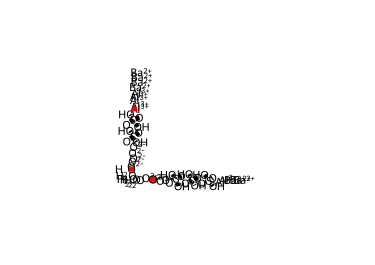 O.O.O.O.O.O=S(=O)(O)O.O=S(=O)(O)O.O=S(=O)(O)O.O=S(=O)(O)O.O=S(=O)(O)O.[Al+3].[Al+3].[Al+3].[Al+3].[Al+3].[Al+3].[Al+3].[Ba+2].[Ba+2].[Ba+2].[Ba+2].[Ba+2].[Ba+2].[Ba+2].[O-2].[O-2].[O-2].[O-2].[O-2].[O-2].[O-2].[O-2].[O-2].[O-2]